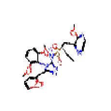 COc1cccc(OC)c1-n1c(NS(=O)(=O)[C@H](C)Cc2nccnc2OC)nnc1-c1ccco1